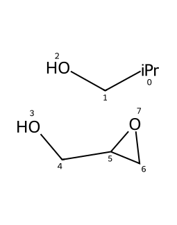 CC(C)CO.OCC1CO1